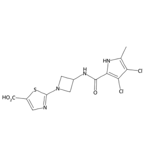 Cc1[nH]c(C(=O)NC2CN(c3ncc(C(=O)O)s3)C2)c(Cl)c1Cl